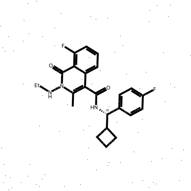 CCNn1c(C)c(C(=O)N[C@H](c2ccc(F)cc2)C2CCC2)c2cccc(F)c2c1=O